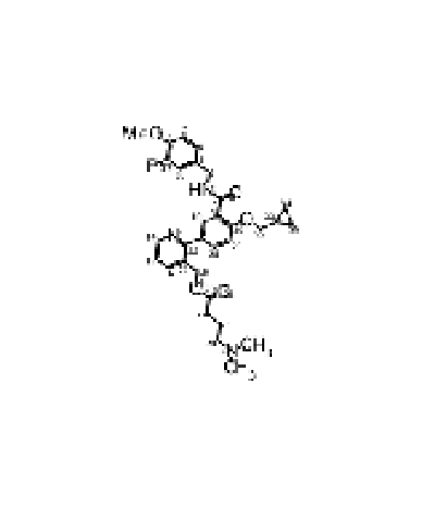 COc1ccc(CNC(=O)c2cc(-c3ncccc3COC(=O)CCCN(C)C)ccc2OCC2CC2)cc1F